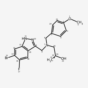 COc1ccc(CN(Cc2n[nH]c3cc(Br)c(F)cc23)C[C@H](C)O)cc1